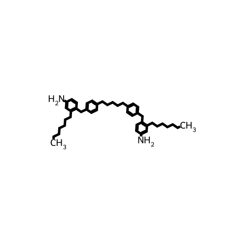 CCCCCCCc1cc(N)ccc1Cc1ccc(CCCCCc2ccc(Cc3ccc(N)cc3CCCCCCC)cc2)cc1